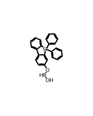 OBOc1ccc2c(c1)[Si](c1ccccc1)(c1ccccc1)c1ccccc1-2